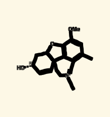 COc1cc(C)c2c3c1OC1C[C@@H](O)C=CC31CC[N+](C)=C2